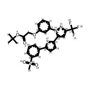 CC(C)(C)OC(=O)COc1cccc(-n2nc(C(F)(F)F)cc2-c2ccc(-c3cccc(S(C)(=O)=O)c3)s2)c1